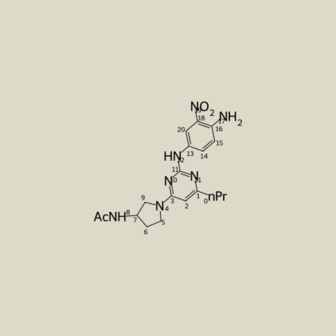 CCCc1cc(N2CCC(NC(C)=O)C2)nc(Nc2ccc(N)c([N+](=O)[O-])c2)n1